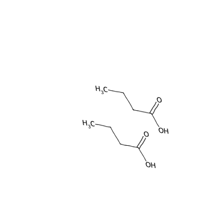 CCCC(=O)O.CCCC(=O)O